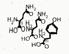 NC(=O)CC[C@H](N)C(=O)O.NC(=O)CC[C@H](N)C(=O)O.N[C@@H](Cc1ccc(O)cc1)C(=O)O